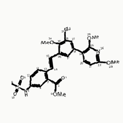 COC(=O)c1cc(NS(C)(=O)=O)ccc1C=Cc1cc(-c2ccc(OC)nc2OC)cc(C(C)(C)C)c1OC